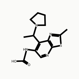 Cc1nc2c(C(C)N3CCCC3)c(NC(=O)O)cnc2s1